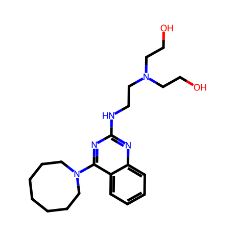 OCCN(CCO)CCNc1nc(N2CCCCCCC2)c2ccccc2n1